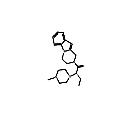 CC[C@H](C(=O)N1CCn2c(cc3ccccc32)C1)N1CCN(C)CC1